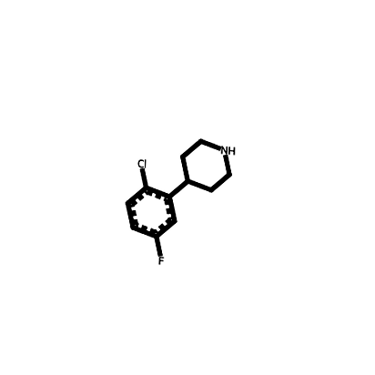 Fc1ccc(Cl)c(C2CCNCC2)c1